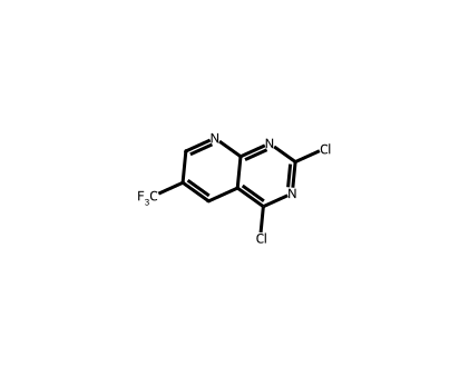 FC(F)(F)c1cnc2nc(Cl)nc(Cl)c2c1